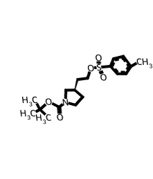 Cc1ccc(S(=O)(=O)OCC[C@H]2CCN(C(=O)OC(C)(C)C)C2)cc1